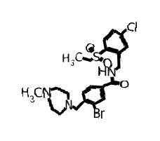 CCS(=O)(=O)c1ccc(Cl)cc1CNC(=O)c1ccc(CN2CCN(C)CC2)c(Br)c1